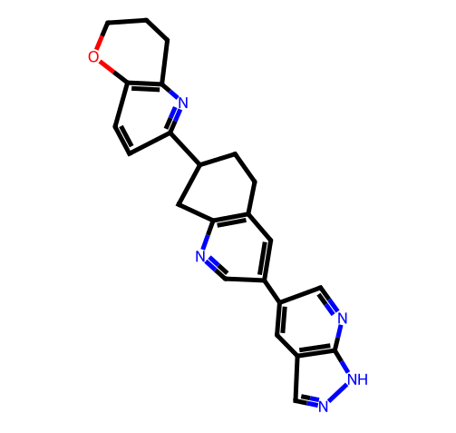 c1nc2c(cc1-c1cnc3[nH]ncc3c1)CCC(c1ccc3c(n1)CCCO3)C2